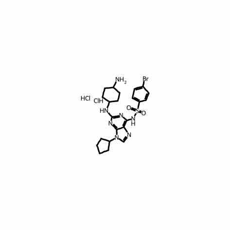 Cl.Cl.NC1CCC(Nc2nc(NS(=O)(=O)c3ccc(Br)cc3)c3ncn(C4CCCC4)c3n2)CC1